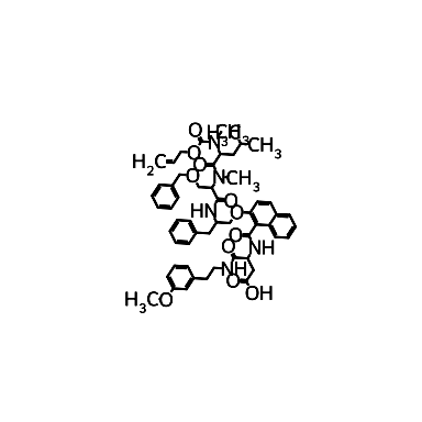 C=CCOC(=O)N(C)C(CC(C)C)C(=O)N(C)C(COCc1ccccc1)C(=O)NC(COc1ccc2ccccc2c1C(=O)NC(CC(=O)O)C(=O)NCCc1cccc(OC)c1)Cc1ccccc1